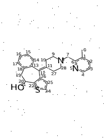 Cc1cccnc1CN1CCC(=C2c3ccccc3CC(O)c3sccc32)CC1